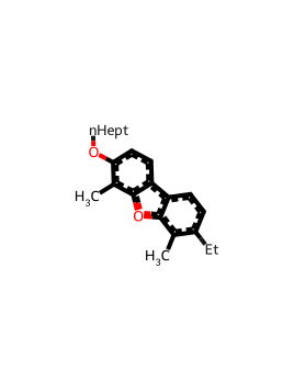 CCCCCCCOc1ccc2c(oc3c(C)c(CC)ccc32)c1C